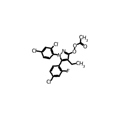 CCc1c(OOC(C)=O)nn(-c2ccc(Cl)cc2Cl)c1-c1ccc(Cl)cc1F